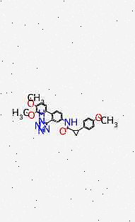 COc1ccc(C2CC2C(=O)Nc2ccc(-c3ccc(OC)c(OC)c3)c(-c3nnn[nH]3)c2)cc1